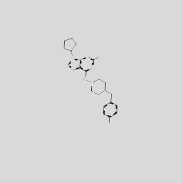 Fc1ccc(CC2CCN(Nc3nc(Cl)nc4c3ncn4C3CCCC3)CC2)cc1